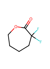 O=C1OCCCCC1(F)F